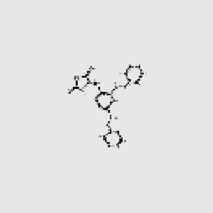 O=C1NC(=O)/C(=C/c2ccc(OCc3ccccc3)cc2OCc2ccccc2)S1